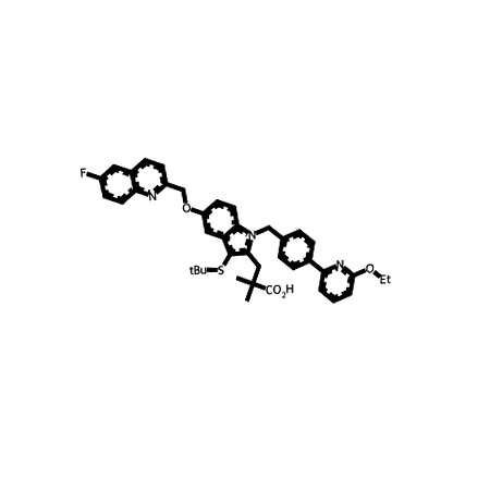 CCOc1cccc(-c2ccc(Cn3c(CC(C)(C)C(=O)O)c(SC(C)(C)C)c4cc(OCc5ccc6cc(F)ccc6n5)ccc43)cc2)n1